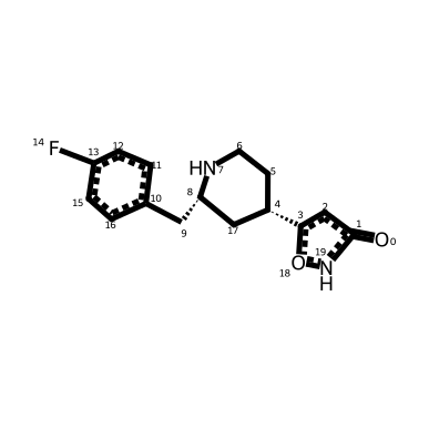 O=c1cc([C@H]2CCN[C@@H](Cc3ccc(F)cc3)C2)o[nH]1